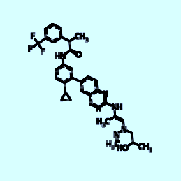 C=NN(/C=C(\C)Nc1ncc2cc(-c3cc(NC(=O)C(C)c4cccc(C(F)(F)F)c4)ccc3C3CC3)ccc2n1)CC(C)O